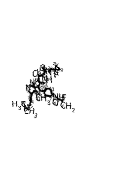 C=C(F)C(=O)Nc1ccc(-c2c(-c3cnc(C(=O)NCC4(F)CC4)c(Cl)c3)c3c(N)ncc(C#CCN(C)C)c3n2C)cc1